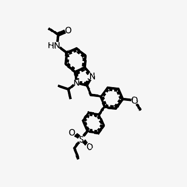 CCS(=O)(=O)c1ccc(-c2cc(OC)ccc2Cc2nc3ccc(NC(C)=O)cc3n2C(C)C)cc1